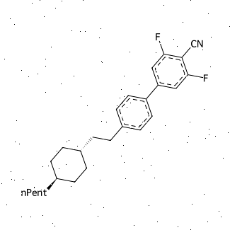 CCCCC[C@H]1CC[C@H](CCc2ccc(-c3cc(F)c(C#N)c(F)c3)cc2)CC1